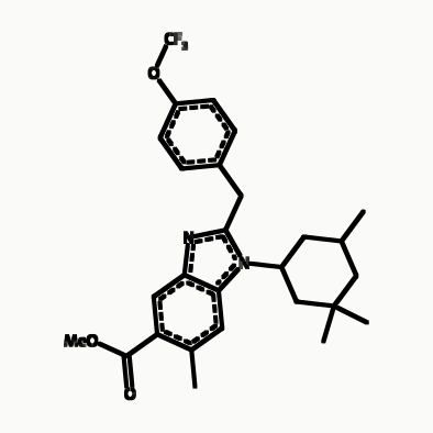 COC(=O)c1cc2nc(Cc3ccc(OC(F)(F)F)cc3)n(C3CC(C)CC(C)(C)C3)c2cc1C